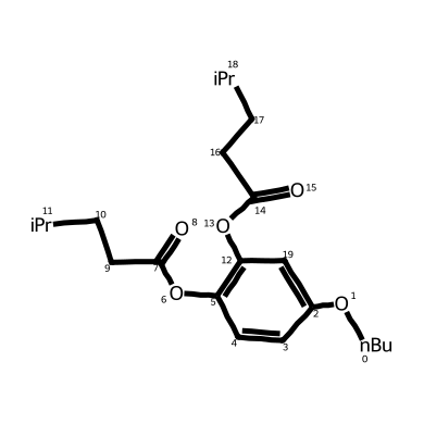 CCCCOc1ccc(OC(=O)CCC(C)C)c(OC(=O)CCC(C)C)c1